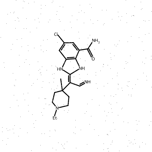 CCN1CCC(C)(/C(C=N)=C2\Nc3cc(Cl)cc(C(N)=O)c3N2)CC1